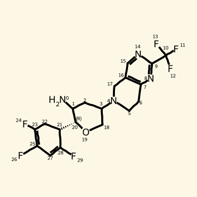 NC1CC(N2CCc3nc(C(F)(F)F)ncc3C2)CO[C@@H]1C1CC(F)=C(F)C=C1F